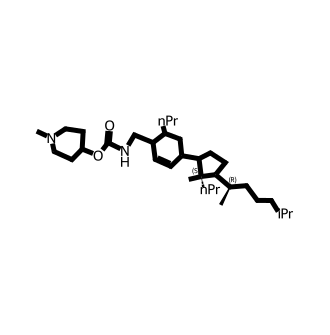 CCCC1CC(C2CCC([C@H](C)CCCC(C)C)[C@]2(C)CCC)C=CC1CNC(=O)OC1CCN(C)CC1